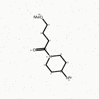 CCCC1CCN(C(=O)CCCOC)CC1